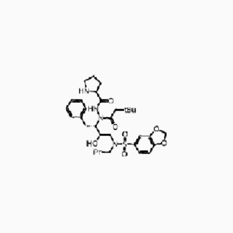 CC(C)CN(C[C@@H](O)[C@H](Cc1ccccc1)N(NC(=O)C1CCCN1)C(=O)CC(C)(C)C)S(=O)(=O)c1ccc2c(c1)OCO2